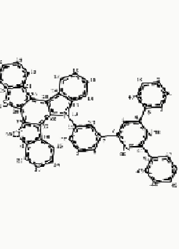 c1ccc(-c2cc(-c3cccc(-n4c5ccccc5c5c6c7ccccc7sc6c6oc7ccccc7c6c54)c3)nc(-c3ccccc3)n2)cc1